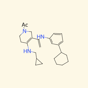 C=C(Nc1cccc(C2CCCCC2)c1)C1=C(NCC2CC2)CCN(C(C)=O)C1